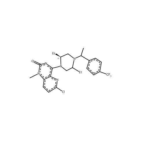 CCC1CN(c2nc(=O)n(C)c3ccc(Cl)nc23)[C@@H](CC)CN1C(C)c1ccc(C(F)(F)F)cc1